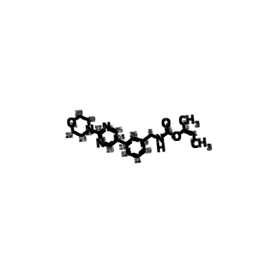 C/C=C(/C)OC(=O)NCc1cccc(-c2cnc(N3CCOCC3)nc2)c1